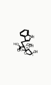 O=C(O)[C@@](O)(Cc1c[nH]c2ccccc12)[C@@]1(O)OC[C@H](O)[C@H]1O